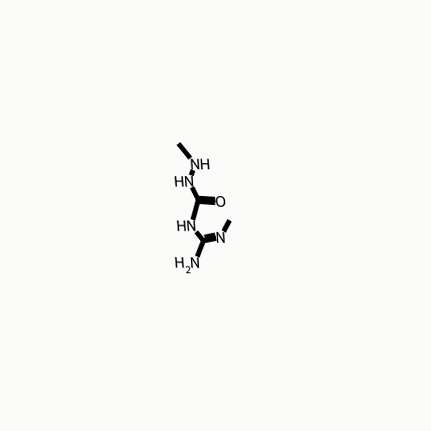 C/N=C(/N)NC(=O)NNC